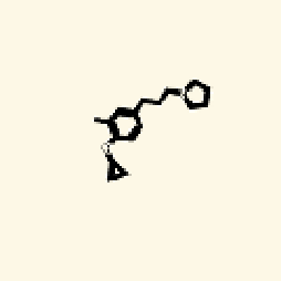 Cc1cc(CCCN2CCCC2)ccc1OC1CC1